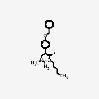 CCCCCOC(=O)C(CN(C)C)c1ccc(OCc2ccccc2)cc1